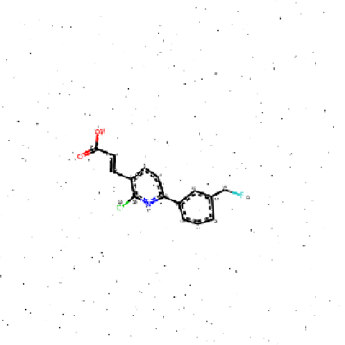 O=C(O)C=Cc1ccc(-c2cccc(CF)c2)nc1Cl